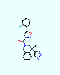 CC(C)C1(c2cnn(C)c2)CN(C(=O)c2cc(-c3ccc(F)cc3F)on2)Cc2ccccc21